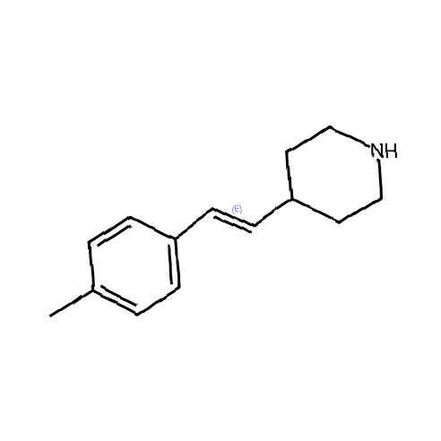 Cc1ccc(/C=C/C2CCNCC2)cc1